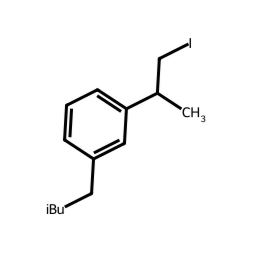 CCC(C)Cc1cccc(C(C)CI)c1